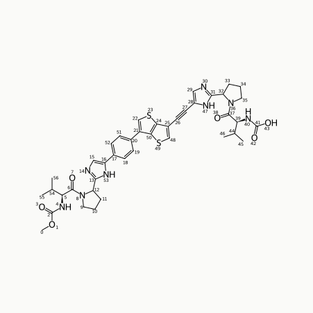 COC(=O)N[C@H](C(=O)N1CCCC1c1ncc(-c2ccc(-c3csc4c(C#Cc5cnc(C6CCCN6C(=O)[C@@H](NC(=O)O)C(C)C)[nH]5)csc34)cc2)[nH]1)C(C)C